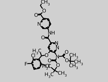 CCOC(=O)c1ccc(NC(=O)c2cc(OC(C)c3c(Cl)ccc(F)c3Cl)c(N(C(=O)OC(C)(C)C)C(=O)OC(C)(C)C)nn2)cn1